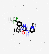 CCN1CCC[C@@H](Nc2nnc(-c3ccc(C(C)(F)F)cc3OC)n(C)c2=O)C1